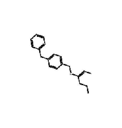 CC=C(CCC)OCc1ccc(Cc2ccccc2)cc1